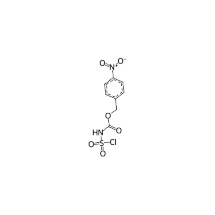 O=C(NS(=O)(=O)Cl)OCc1ccc([N+](=O)[O-])cc1